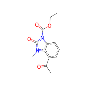 CCOC(=O)n1c(=O)n(C)c2c(C(C)=O)cccc21